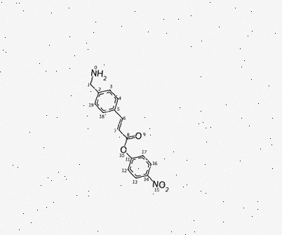 NCc1ccc(/C=C/C(=O)Oc2ccc([N+](=O)[O-])cc2)cc1